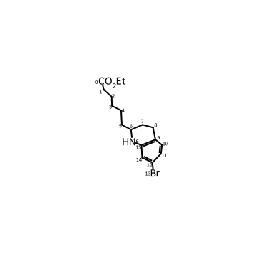 CCOC(=O)CCCCCC1CCc2ccc(Br)cc2N1